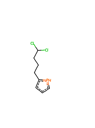 ClC(Cl)CCCc1ccc[pH]1